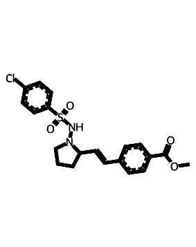 COC(=O)c1ccc(C=CC2CCCN2NS(=O)(=O)c2ccc(Cl)cc2)cc1